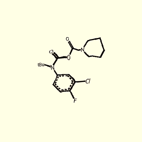 CC(C)(C)N(C(=O)OC(=O)N1CCCCC1)c1ccc(F)c(Cl)c1